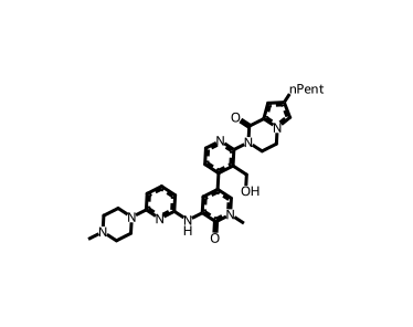 CCCCCc1cc2n(c1)CCN(c1nccc(-c3cc(Nc4cccc(N5CCN(C)CC5)n4)c(=O)n(C)c3)c1CO)C2=O